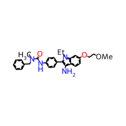 CCn1c(-c2ccc(NC(=O)N(C)Cc3ccccc3)cc2)c(N)c2ccc(OCCOC)cc21